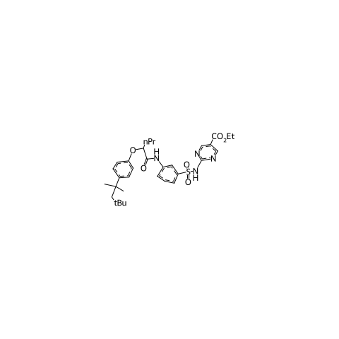 CCCC(Oc1ccc(C(C)(C)CC(C)(C)C)cc1)C(=O)Nc1cccc(S(=O)(=O)Nc2ncc(C(=O)OCC)cn2)c1